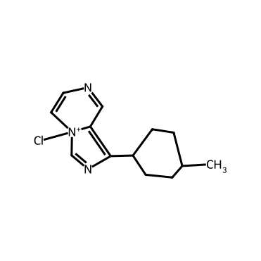 CC1CCC(C2=C3C=NC=C[N+]3(Cl)C=N2)CC1